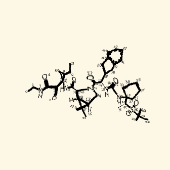 CCNC(=O)C(=O)[C@]1(NC(=O)[C@@H]2[C@@H]3[C@H](CN2C(=O)[C@@H](NC(=O)NC2([C@@H](C)S(=O)(=O)C(C)(C)C)CCCCC2)C2Cc4ccccc4C2)C3(C)C)CC1CC